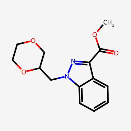 COC(=O)c1nn(CC2COCCO2)c2ccccc12